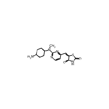 CN(c1nccc(C=C2SC(=O)NC2=O)n1)C1CCC(N)CC1